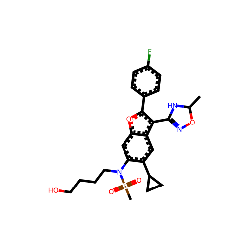 CC1NC(c2c(-c3ccc(F)cc3)oc3cc(N(CCCCO)S(C)(=O)=O)c(C4CC4)cc23)=NO1